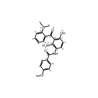 COc1ccc(C(=O)Nc2ccc(O)c(C(=O)c3ccccc3N(C)C)c2N)cc1